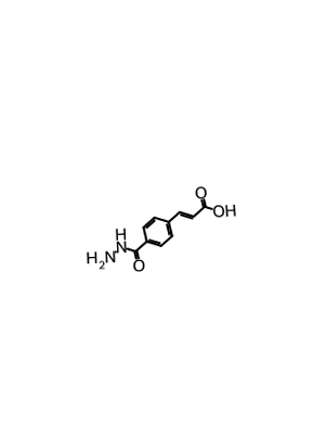 NNC(=O)c1ccc(C=CC(=O)O)cc1